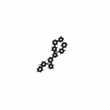 c1ccc(-c2cccc(-c3ccc4c5cc(-c6ccc7c(c6)c6ccccc6n7-c6ccc7oc8ccccc8c7c6)ccc5n(-c5cccc(-c6ccccc6)c5)c4c3)c2)cc1